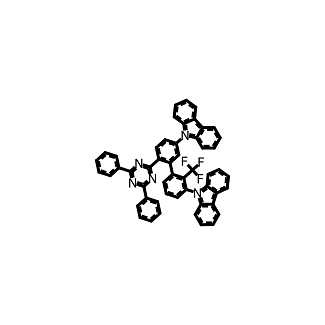 FC(F)(F)c1c(-c2cc(-n3c4ccccc4c4ccccc43)ccc2-c2nc(-c3ccccc3)nc(-c3ccccc3)n2)cccc1-n1c2ccccc2c2ccccc21